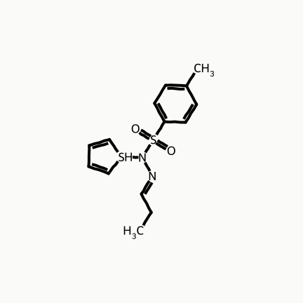 CCC=NN([SH]1C=CC=C1)S(=O)(=O)c1ccc(C)cc1